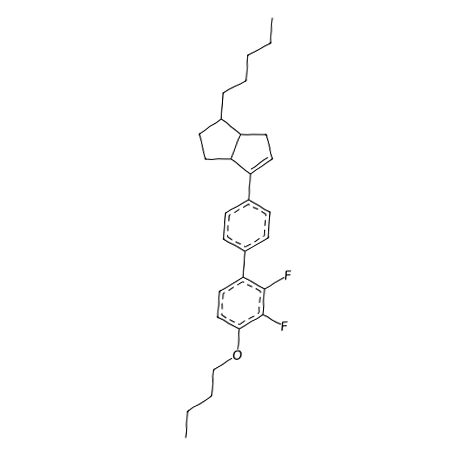 CCCCCC1CCC2C(c3ccc(-c4ccc(OCCCC)c(F)c4F)cc3)=CCC12